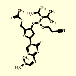 CC(=O)OCC1OC(n2cnc(/N=C\N(C)C)nc2=O)CC1OP(OCCC#N)N(C(C)C)C(C)C